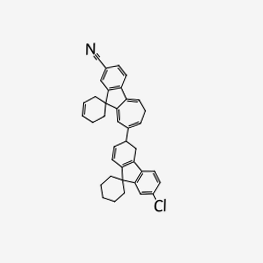 N#Cc1ccc2c(c1)C1(CC=CCC1)C1=CC(C3C=CC4=C(C3)c3ccc(Cl)cc3C43CCCCC3)=CCC=C12